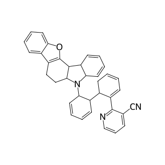 N#Cc1cccnc1C1=CC=CCC1C1C=CC=CC1N1C2C=CC=CC2C2c3oc4ccccc4c3CCC21